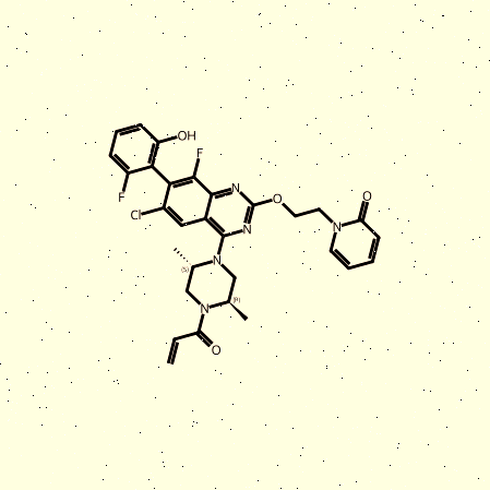 C=CC(=O)N1C[C@H](C)N(c2nc(OCCn3ccccc3=O)nc3c(F)c(-c4c(O)cccc4F)c(Cl)cc23)C[C@H]1C